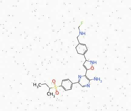 CCC(C)S(=O)(=O)c1ccc(-c2cnc(N)c(C3=CC(C4=CC=C(CNCF)CC4)NO3)n2)cc1